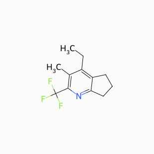 CCc1c(C)c(C(F)(F)F)nc2c1CCC2